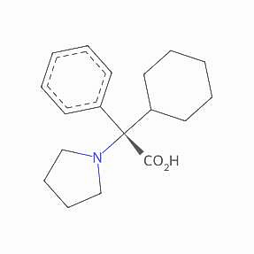 O=C(O)[C@@](c1ccccc1)(C1CCCCC1)N1CCCC1